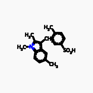 Cc1ccc(S(=O)(=O)O)cc1.Cc1ccc2c(c1)c(C)c(C)n2C